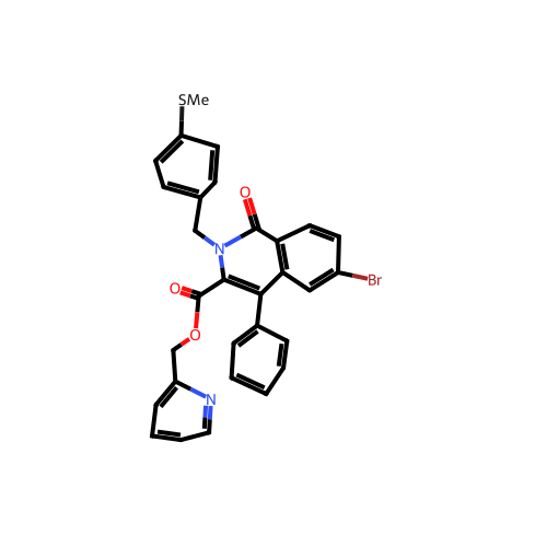 CSc1ccc(Cn2c(C(=O)OCc3ccccn3)c(-c3ccccc3)c3cc(Br)ccc3c2=O)cc1